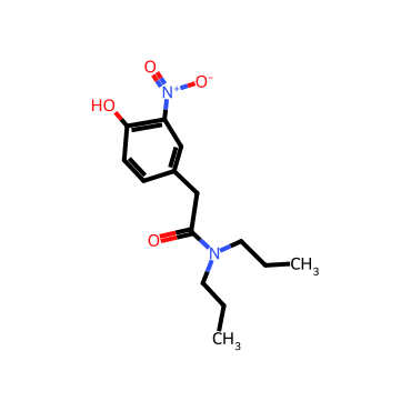 CCCN(CCC)C(=O)Cc1ccc(O)c([N+](=O)[O-])c1